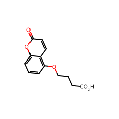 O=C(O)CCCOc1cccc2oc(=O)ccc12